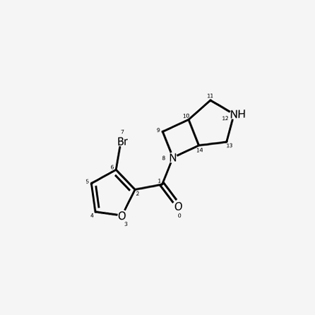 O=C(c1occc1Br)N1CC2CNCC21